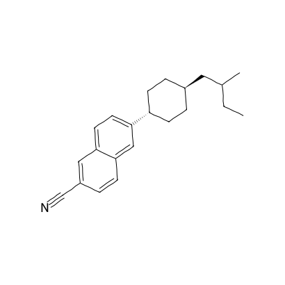 CCC(C)C[C@H]1CC[C@H](c2ccc3cc(C#N)ccc3c2)CC1